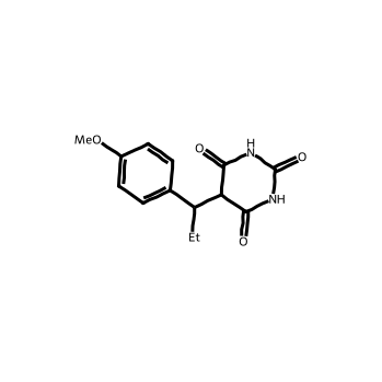 CCC(c1ccc(OC)cc1)C1C(=O)NC(=O)NC1=O